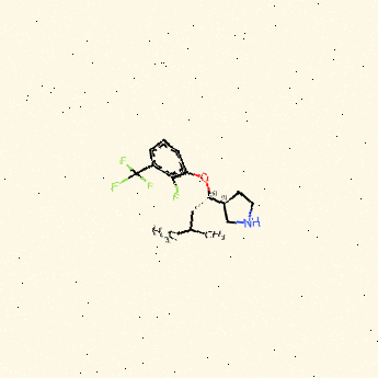 CC(C)C[C@H](Oc1cccc(C(F)(F)F)c1F)[C@H]1CCNC1